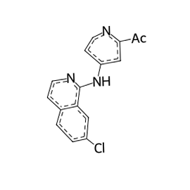 CC(=O)c1cc(Nc2nccc3ccc(Cl)cc23)ccn1